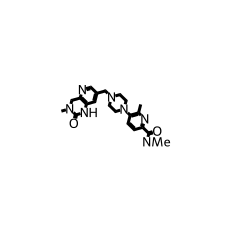 CNC(=O)c1ccc(N2CCN(Cc3cnc4c(c3)NC(=O)N(C)C4)CC2)c(C)n1